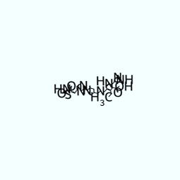 CCc1c(CNCC2CCN(c3nccc(C=C4SC(=O)NC4=O)n3)CC2)cnc(-c2cn[nH]c2)c1C(=O)O